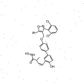 CC(/C=C\c1cc(-c2ccc(OCc3c(-c4c(Cl)cccc4Cl)noc3C(C)C)cc2)ccc1O)C(=O)NS